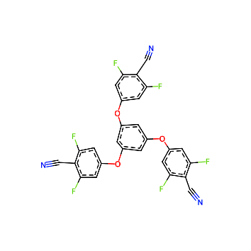 N#Cc1c(F)cc(Oc2cc(Oc3cc(F)c(C#N)c(F)c3)cc(Oc3cc(F)c(C#N)c(F)c3)c2)cc1F